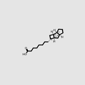 O=C(O)CCCCCCC[C@@H]1C[C@H]2[C@H]3CCC[C@H]3C[C@@H]12